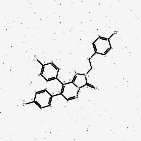 O=c1n(CCc2ccc(Cl)cc2)nc2c(-c3ccc(Cl)cc3)c(-c3ccc(Cl)cc3)cnn12